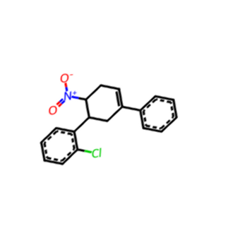 O=[N+]([O-])C1CC=C(c2ccccc2)CC1c1ccccc1Cl